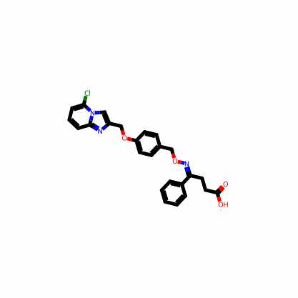 O=C(O)CCC(=NOCc1ccc(OCc2cn3c(Cl)cccc3n2)cc1)c1ccccc1